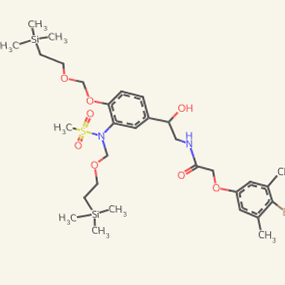 Cc1cc(OCC(=O)NCC(O)c2ccc(OCOCC[Si](C)(C)C)c(N(COCC[Si](C)(C)C)S(C)(=O)=O)c2)cc(C)c1Br